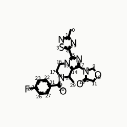 Cc1nsc(-c2nc(N3COCC3=O)c3n2CCN(C(=O)c2ccc(F)cc2)C3C)n1